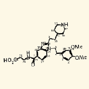 COc1ccc(CCn2c(CCC3CCNCC3)nc3cc(C(=O)NCCC(=O)O)ccc32)cc1OC